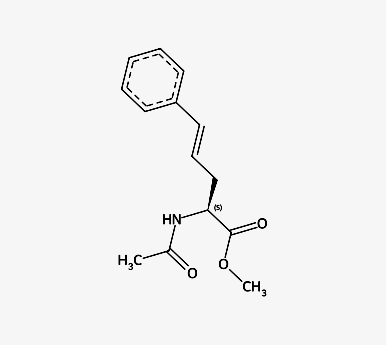 COC(=O)[C@H](CC=Cc1ccccc1)NC(C)=O